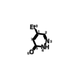 CCc1cn[nH]c(=O)c1